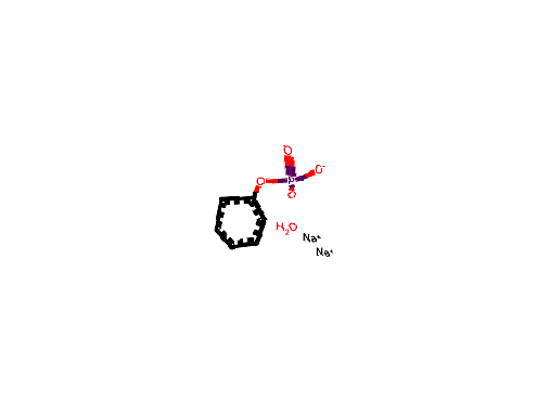 O.O=P([O-])([O-])Oc1ccccc1.[Na+].[Na+]